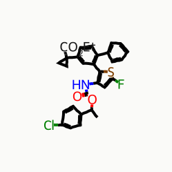 CCOC(=O)C1(c2ccc(-c3ccccc3)c(-c3sc(F)cc3NC(=O)OC(C)c3ccc(Cl)cc3)c2)CC1